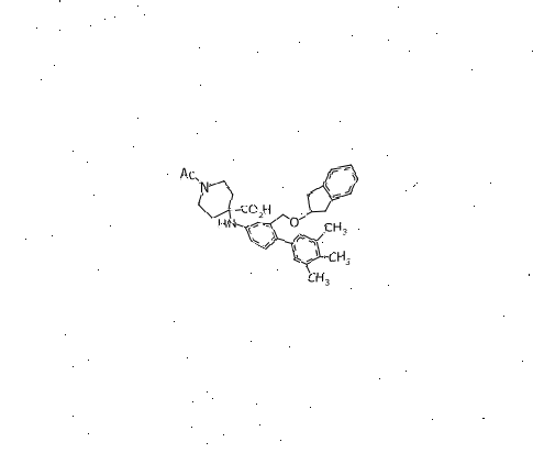 CC(=O)N1CCC(Nc2ccc(-c3cc(C)c(C)c(C)c3)c(COC3Cc4ccccc4C3)c2)(C(=O)O)CC1